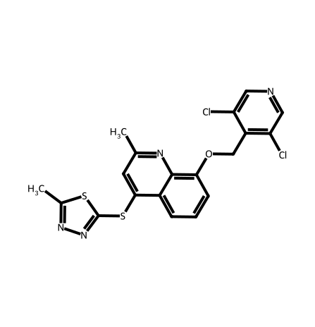 Cc1cc(Sc2nnc(C)s2)c2cccc(OCc3c(Cl)cncc3Cl)c2n1